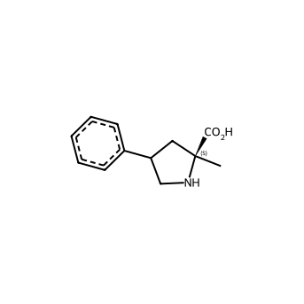 C[C@@]1(C(=O)O)CC(c2ccccc2)CN1